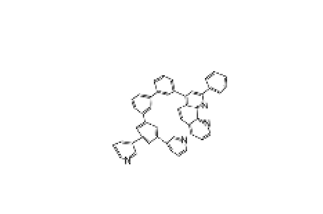 c1ccc(-c2cc(-c3cccc(-c4cccc(-c5cc(-c6cccnc6)cc(-c6cccnc6)c5)c4)c3)c3ccc4cccnc4c3n2)cc1